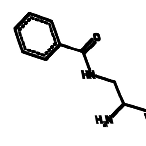 NC([C]=S)CNC(=O)c1ccccc1